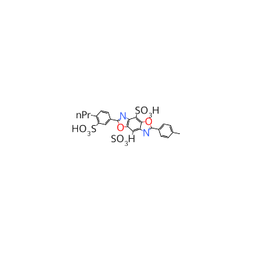 CCCc1ccc(-c2nc3c(S(=O)(=O)O)c4oc(-c5ccc(C)cc5)nc4c(S(=O)(=O)O)c3o2)cc1S(=O)(=O)O